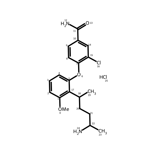 COc1cccc(Oc2ccc(C(N)=O)cc2Cl)c1C(C)CCC(C)N.Cl